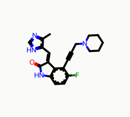 Cc1nc[nH]c1C=C1C(=O)Nc2ccc(F)c(C#CCN3CCCCC3)c21